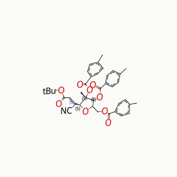 Cc1ccc(C(=O)OCC2O[C@@H](/C(C#N)=C/C(=O)OC(C)(C)C)[C@](C)(OC(=O)c3ccc(C)cc3)[C@@H]2OC(=O)c2ccc(C)cc2)cc1